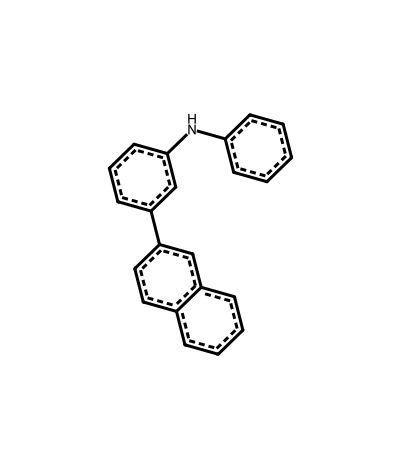 c1ccc(Nc2cccc(-c3ccc4ccccc4c3)c2)cc1